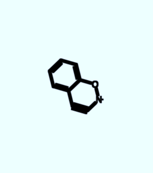 C1#Cc2ccccc2O[N]1